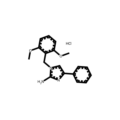 COc1cccc(OC)c1Cn1cc(-c2ccccc2)nc1N.Cl